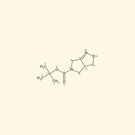 CC(C)(C)OC(=O)N1CC2=NOCC2C1